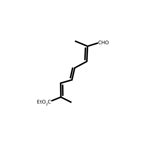 CCOC(=O)C(C)=CC=CC=C(C)C=O